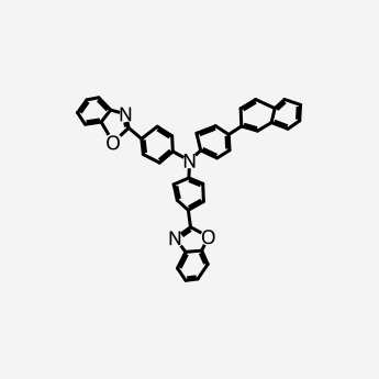 c1ccc2cc(-c3ccc(N(c4ccc(-c5nc6ccccc6o5)cc4)c4ccc(-c5nc6ccccc6o5)cc4)cc3)ccc2c1